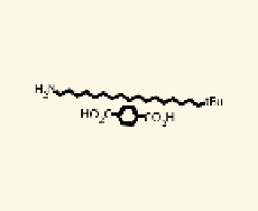 CC(C)(C)CCCCCCCCCCCCCCCCCN.O=C(O)c1ccc(C(=O)O)cc1